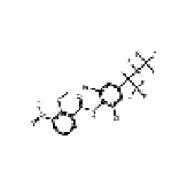 COc1c(C(=O)Nc2c(Cl)cc(C(F)(C(F)(F)F)C(F)(F)C(F)(F)F)cc2Br)cccc1[N+](=O)[O-]